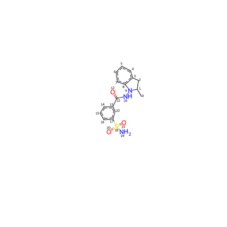 CC1Cc2ccccc2N1NC(=O)c1cccc(S(N)(=O)=O)c1